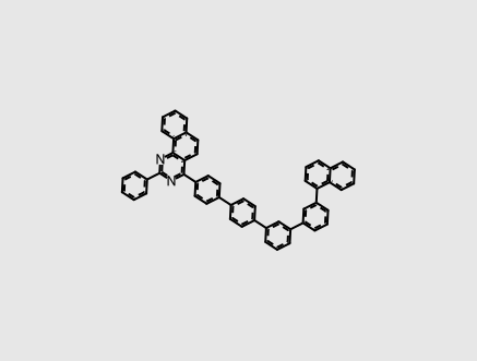 c1ccc(-c2nc(-c3ccc(-c4ccc(-c5cccc(-c6cccc(-c7cccc8ccccc78)c6)c5)cc4)cc3)c3ccc4ccccc4c3n2)cc1